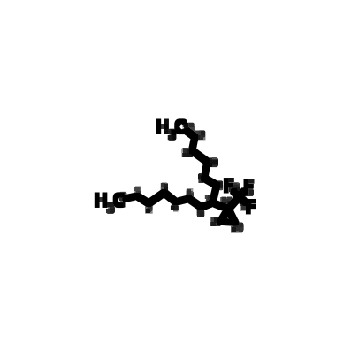 CCCCCCCC(CCCCCC)C1(C(F)(F)F)CC1